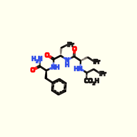 CC(C)CC(N[C@@H](CC(C)C)C(=O)N[C@@H](CC(C)C)C(=O)N[C@@H](Cc1ccccc1)C(N)=O)C(=O)O